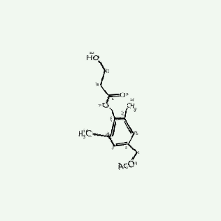 CC(=O)OCc1cc(C)c(OC(=O)CCO)c(C)c1